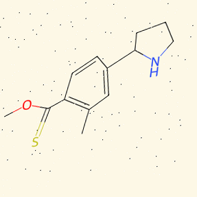 COC(=S)c1ccc(C2CCCN2)cc1C